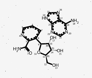 NC(=O)c1ncccc1C1O[C@H](CO)[C@@H](O)[C@H]1O.Nc1ncnc2[nH]cnc12